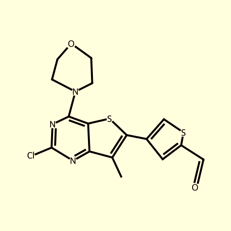 Cc1c(-c2csc(C=O)c2)sc2c(N3CCOCC3)nc(Cl)nc12